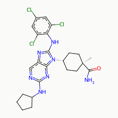 C[C@]1(C(N)=O)CC[C@H](n2c(Nc3c(Cl)cc(Cl)cc3Cl)nc3cnc(NC4CCCC4)nc32)CC1